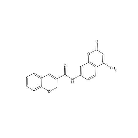 Cc1cc(=O)oc2cc(NC(=O)C3=Cc4ccccc4OC3)ccc12